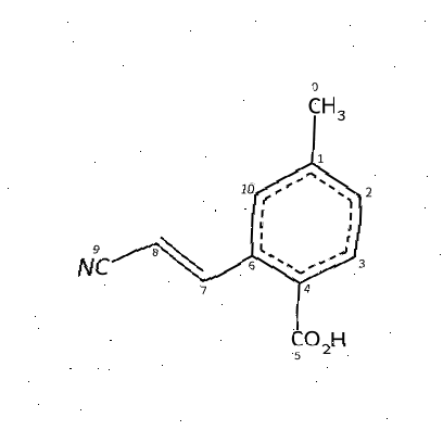 Cc1ccc(C(=O)O)c(/C=C/C#N)c1